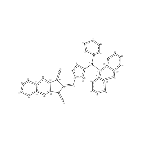 O=C1C(=Cc2ccc(N(c3ccccc3)c3c4ccccc4cc4ccccc34)[se]2)C(=O)c2cc3ccccc3cc21